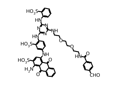 Nc1c(S(=O)(=O)O)cc(Nc2ccc(Nc3nc(NCCOCCOCCNC(=O)c4ccc(C=O)cc4)nc(Nc4ccccc4S(=O)(=O)O)n3)c(S(=O)(=O)O)c2)c2c1C(=O)c1ccccc1C2=O